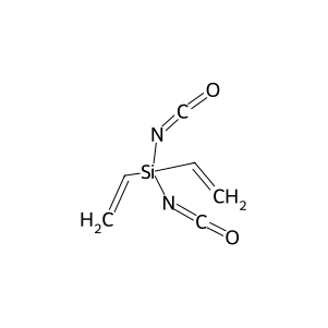 C=C[Si](C=C)(N=C=O)N=C=O